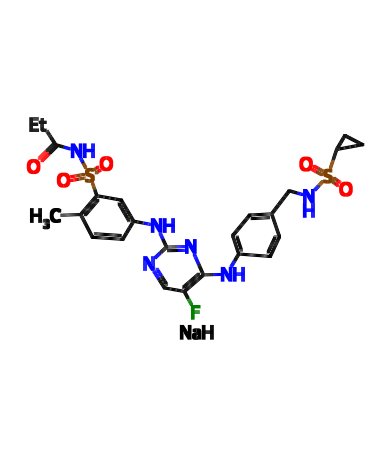 CCC(=O)NS(=O)(=O)c1cc(Nc2ncc(F)c(Nc3ccc(CNS(=O)(=O)C4CC4)cc3)n2)ccc1C.[NaH]